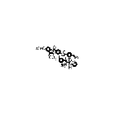 CC(C)Cc1ccc(C(C)C(=O)O)cc1.CN1C(C(=O)Nc2ccccn2)=C(O)c2ccccc2S1(=O)=O.COc1ccc2c(c1)c(CC(=O)O)c(C)n2C(=O)c1ccc(Cl)cc1